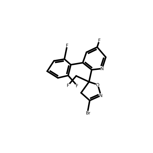 FCC1(c2ncc(F)cc2-c2c(F)cccc2F)CC(Br)=NO1